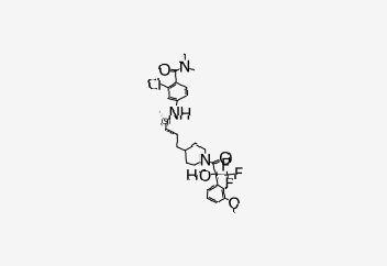 COc1cccc(C(O)(C(=O)N2CCC(CCC[C@H](C)Nc3ccc(C(=O)N(C)C)c(Cl)c3)CC2)C(F)(F)F)c1